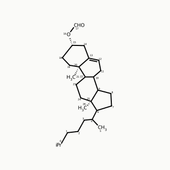 CC(C)CCCC(C)C1CCC2C3CC=C4C[C@@H](OC=O)CC[C@]4(C)C3CC[C@]12C